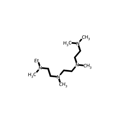 CCN(C)CCN(C)CCN(C)CCN(C)C